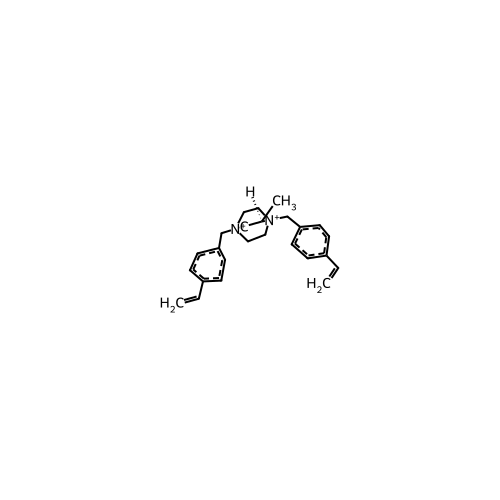 C=Cc1ccc(C[N+]23CC[N+](Cc4ccc(C=C)cc4)(CC2)[C@H](C)C3)cc1